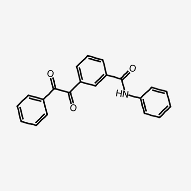 O=C(Nc1ccccc1)c1cccc(C(=O)C(=O)c2ccccc2)c1